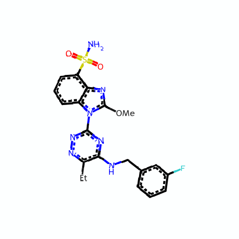 CCc1nnc(-n2c(OC)nc3c(S(N)(=O)=O)cccc32)nc1NCc1cccc(F)c1